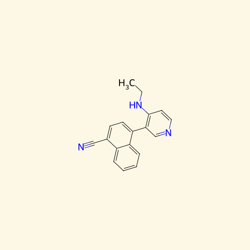 CCNc1ccncc1-c1ccc(C#N)c2ccccc12